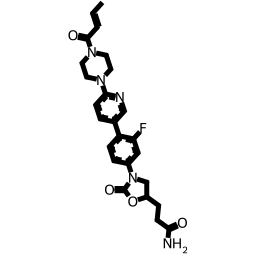 CC=CC(=O)N1CCN(c2ccc(-c3ccc(N4CC(CCC(N)=O)OC4=O)cc3F)cn2)CC1